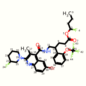 CCCC(F)OC(=O)CCC(CNC(=O)c1c(C)c(N2CCCC(F)C2)nc2ccc(Br)cc12)c1ccccc1OC(F)(F)F